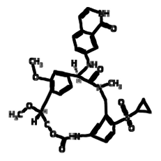 COc1cc2ccc1[C@@H](OC)COC(=O)Nc1ccc(S(=O)(=O)C3CC3)c(c1)CN(C)C(=O)[C@@H]2Nc1ccc2cc[nH]c(=O)c2c1